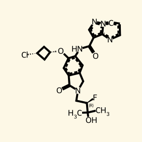 CC(C)(O)[C@H](F)CN1Cc2cc(NC(=O)c3cnn4cccnc34)c(O[C@H]3C[C@@H](Cl)C3)cc2C1=O